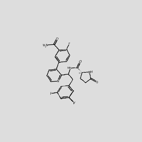 NC(=O)c1cc(-c2cccnc2C(Cc2cc(F)cc(F)c2)NC(=O)[C@H]2CCC(=O)N2)ccc1F